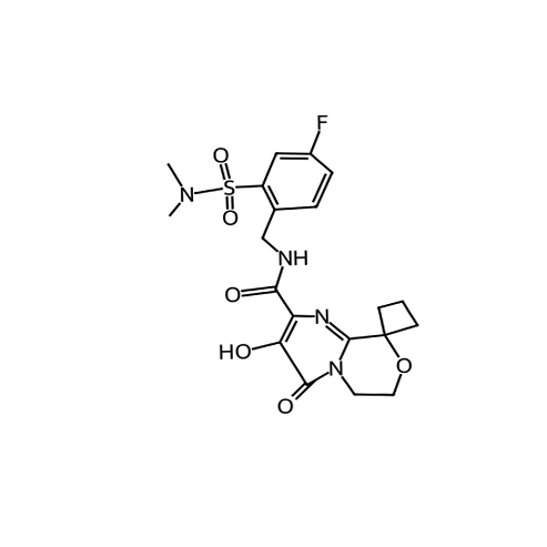 CN(C)S(=O)(=O)c1cc(F)ccc1CNC(=O)c1nc2n(c(=O)c1O)CCOC21CCC1